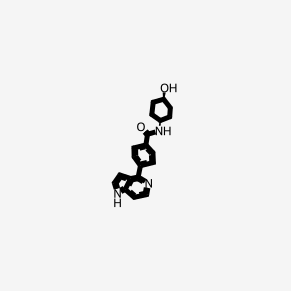 O=C(N[C@H]1CC[C@H](O)CC1)c1ccc(-c2nccc3[nH]ccc23)cc1